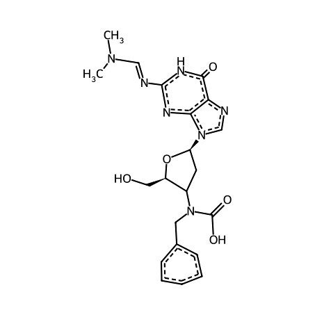 CN(C)/C=N/c1nc2c(ncn2[C@H]2CC(N(Cc3ccccc3)C(=O)O)[C@@H](CO)O2)c(=O)[nH]1